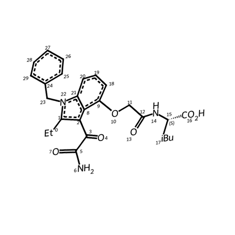 CCc1c(C(=O)C(N)=O)c2c(OCC(=O)N[C@H](C(=O)O)C(C)CC)cccc2n1Cc1ccccc1